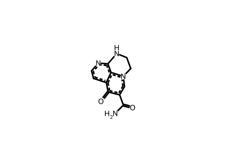 NC(=O)c1cn2c3c(nccc3c1=O)NCC2